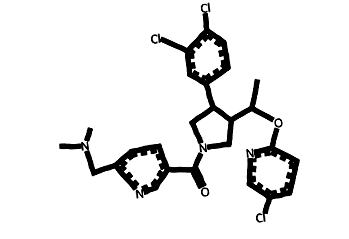 CC(Oc1ccc(Cl)cn1)C1CN(C(=O)c2ccc(CN(C)C)nc2)CC1c1ccc(Cl)c(Cl)c1